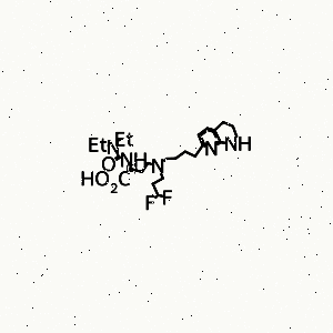 CCN(CC)C(=O)N[C@@H](CCN(CCCCc1ccc2c(n1)NCCC2)CCC(F)F)C(=O)O